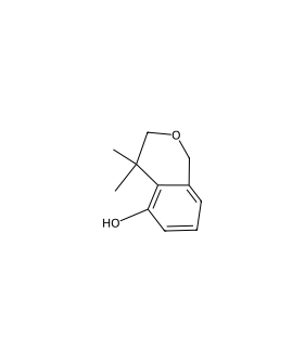 CC1(C)COCc2cccc(O)c21